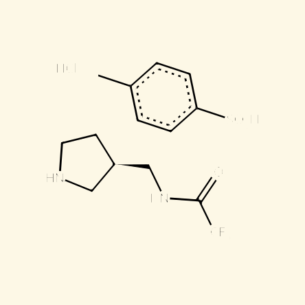 Cc1ccc(S(=O)(=O)O)cc1.Cl.O=C(NC[C@@H]1CCNC1)C(F)(F)F